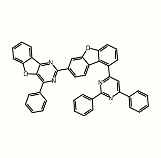 c1ccc(-c2cc(-c3cccc4oc5cc(-c6nc(-c7ccccc7)c7oc8ccccc8c7n6)ccc5c34)nc(-c3ccccc3)n2)cc1